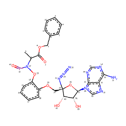 CC(C(=O)OCc1ccccc1)N(Oc1ccccc1OC[C@@]1(N=[N+]=[N-])O[C@@H](n2cnc3c(N)ncnc32)[C@H](O)[C@@H]1O)P=O